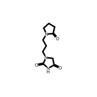 O=C1[CH]N(CCCN2CCCC2=O)C(=O)N1